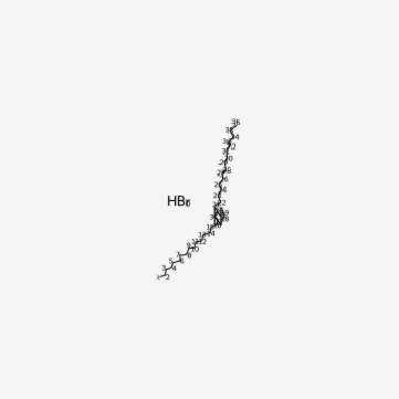 Br.CCCCCCCCCCCCCCCCN1C=CN(CCCCCCCCCCCCCCCC)C1